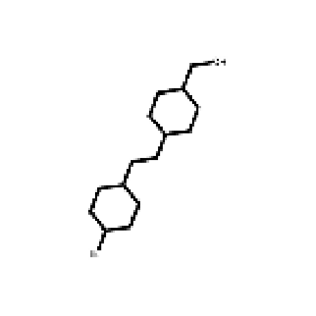 CCC1CCC(CCC2CCC(CO)CC2)CC1